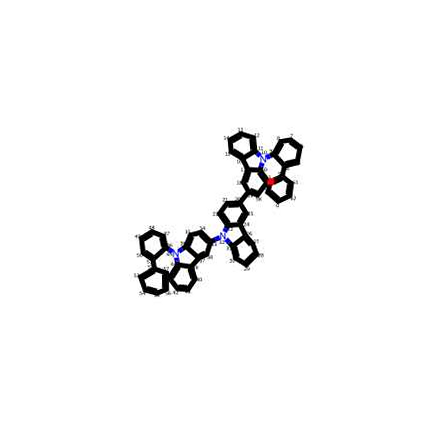 c1ccc(-c2ccccc2-n2c3ccccc3c3cc(-c4ccc5c(c4)c4ccccc4n5-c4ccc5c(c4)c4ccccc4n5-c4ccccc4-c4ccccc4)ccc32)cc1